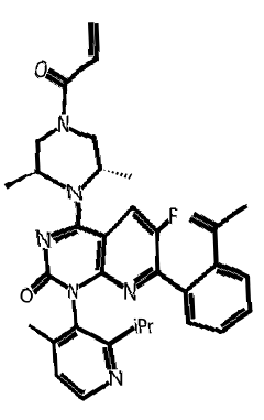 C=CC(=O)N1C[C@H](C)N(c2nc(=O)n(-c3c(C)ccnc3C(C)C)c3nc(-c4ccccc4C(=C)C)c(F)cc23)[C@@H](C)C1